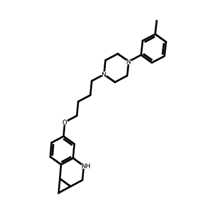 Cc1cccc(N2CCN(CCCCOc3ccc4c(c3)NCC3CC43)CC2)c1